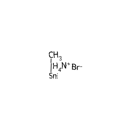 [Br-].[CH3][Sn].[NH4+]